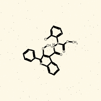 COC(=O)N(NC(=O)c1c(OC)c(-c2ccccc2)nc2ccccc12)c1ccccc1Cl